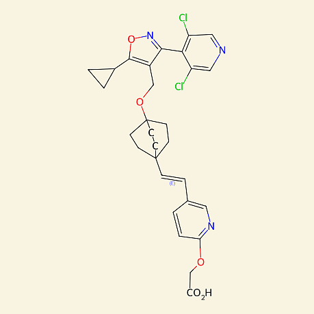 O=C(O)COc1ccc(/C=C/C23CCC(OCc4c(-c5c(Cl)cncc5Cl)noc4C4CC4)(CC2)CC3)cn1